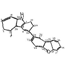 CC1CC=CC2NC3=C(C=C(C4=CC=C5OC6C=CC=CC6C5C4)CC3)C12